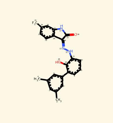 Cc1cc(C)cc(-c2cccc(NN=C3C(=O)Nc4cc(C(F)(F)F)ccc43)c2O)c1